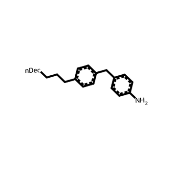 CCCCCCCCCCCCCc1ccc(Cc2ccc(N)cc2)cc1